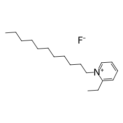 CCCCCCCCCCC[n+]1ccccc1CC.[F-]